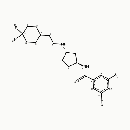 O=C(N[C@H]1CC[C@H](NCCC2CCC(F)(F)CC2)C1)c1cc(F)cc(Cl)c1